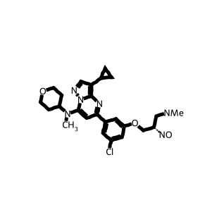 CNC[C@@H](COc1cc(Cl)cc(-c2cc(N(C)C3CCOCC3)n3ncc(C4CC4)c3n2)c1)N=O